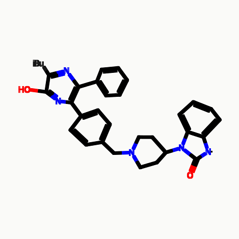 CCC(C)c1nc(-c2ccccc2)c(-c2ccc(CN3CCC(N4C(=O)[N]c5ccccc54)CC3)cc2)nc1O